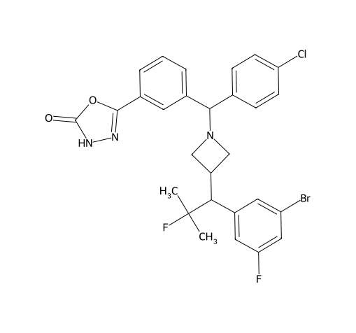 CC(C)(F)C(c1cc(F)cc(Br)c1)C1CN(C(c2ccc(Cl)cc2)c2cccc(-c3n[nH]c(=O)o3)c2)C1